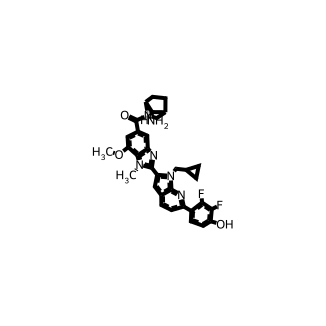 COc1cc(C(=O)N2CC3CCC2[C@@H]3N)cc2nc(-c3cc4ccc(-c5ccc(O)c(F)c5F)nc4n3CC3CC3)n(C)c12